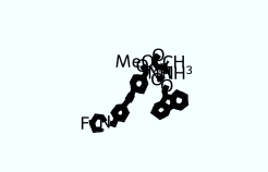 COC(=O)[C@@H](NC(=O)c1ccc(C#Cc2ccc(CN3CCC(F)CC3)cc2)cc1)[C@@H](C)NC(=O)OCC1c2ccccc2-c2ccccc21